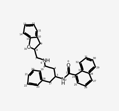 O=C(NC(CCNCC1Cc2ccccc2O1)Cc1ccccc1)c1cccc2ccccc12